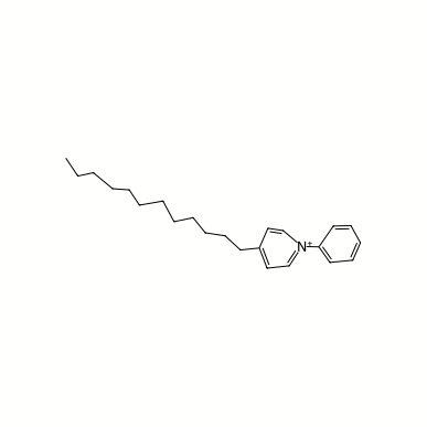 CCCCCCCCCCCCc1cc[n+](-c2ccccc2)cc1